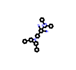 N#Cc1cc(-c2ccc(-n3c4ccc(-c5ccccc5)cc4c4cc(-c5ccccc5)ccc43)cc2)cc(C#N)c1-c1cc(-c2ccccc2)nc(-c2ccccc2)n1